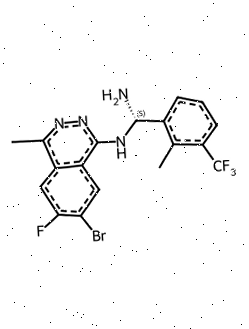 Cc1c([C@@H](N)Nc2nnc(C)c3cc(F)c(Br)cc23)cccc1C(F)(F)F